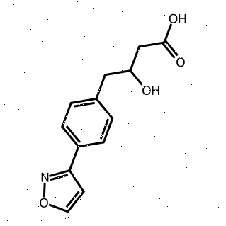 O=C(O)CC(O)Cc1ccc(-c2ccon2)cc1